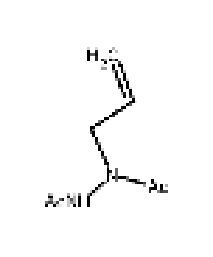 C=CCN(NC(C)=O)C(C)=O